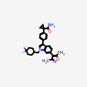 Cc1noc(C)c1-c1ccc2c(-c3ccc(C4(C(N)=O)CC4)cc3)cn(CC3CCC(F)(I)CC3)c2c1